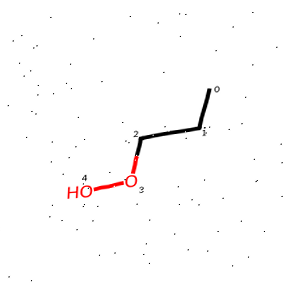 C[CH]COO